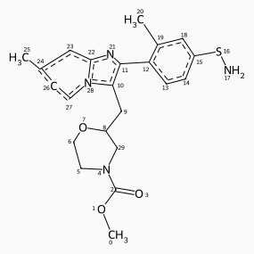 COC(=O)N1CCOC(Cc2c(-c3ccc(SN)cc3C)nc3cc(C)ccn23)C1